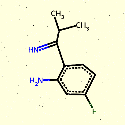 CC(C)C(=N)c1ccc(F)cc1N